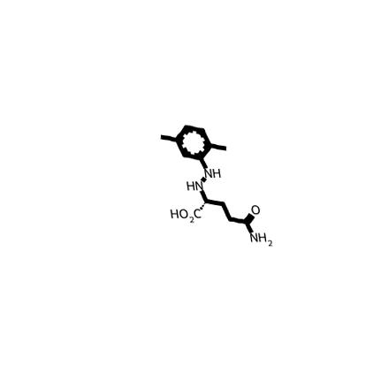 Cc1ccc(C)c(NN[C@H](CCC(N)=O)C(=O)O)c1